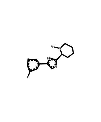 [2H]N1CCCCC1c1ncc(-c2cccc(F)c2)[nH]1